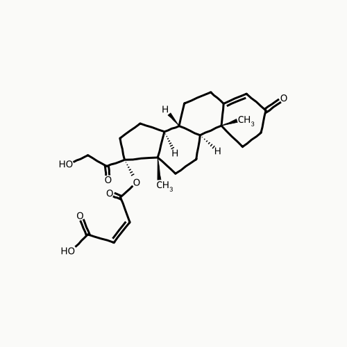 C[C@]12CCC(=O)C=C1CC[C@@H]1[C@@H]2CC[C@@]2(C)[C@H]1CC[C@]2(OC(=O)/C=C\C(=O)O)C(=O)CO